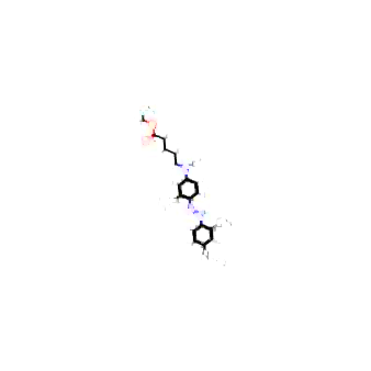 CCN(CCCCC(=O)OCC#N)c1ccc(/N=N/c2ccc([N+](=O)[O-])cc2C#N)c(C)c1